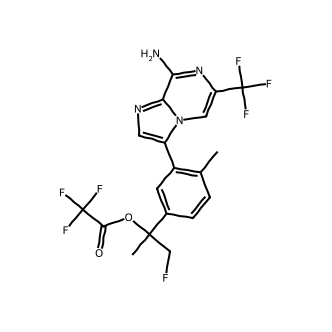 Cc1ccc(C(C)(CF)OC(=O)C(F)(F)F)cc1-c1cnc2c(N)nc(C(F)(F)F)cn12